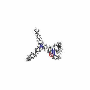 C[Si](C)(C)c1ccc(-c2ccc(N(c3ccc(-c4ccc([Si](C)(C)C)cc4)cc3)c3ccc(-c4ccc5c(c4)Oc4ccccc4N5c4ccc([Si](C)(C)C)cc4)cc3)cc2)cc1